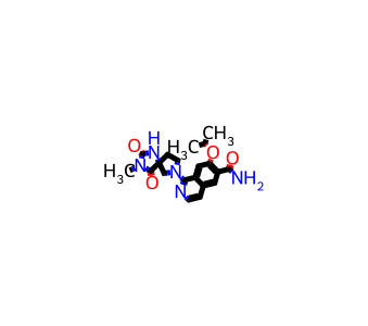 CC(C)Oc1cc2c(N3CCC4(C3)NC(=O)N(C)C4=O)nccc2cc1C(N)=O